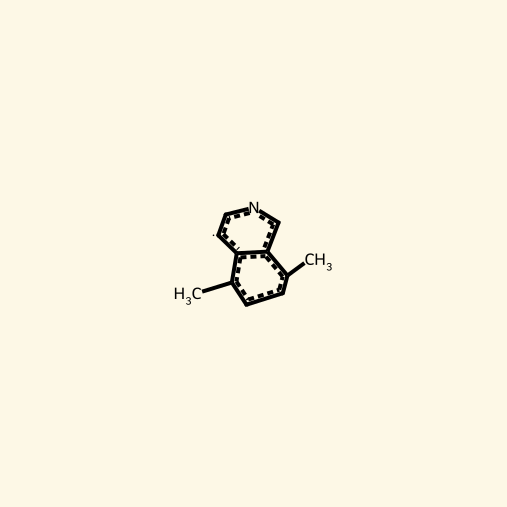 Cc1ccc(C)c2cnc[c]c12